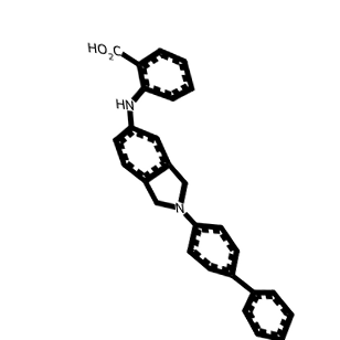 O=C(O)c1ccccc1Nc1ccc2c(c1)CN(c1ccc(-c3ccccc3)cc1)C2